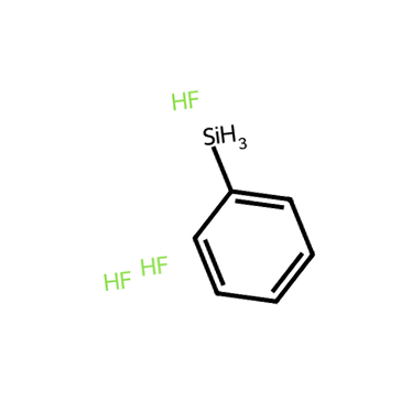 F.F.F.[SiH3]c1ccccc1